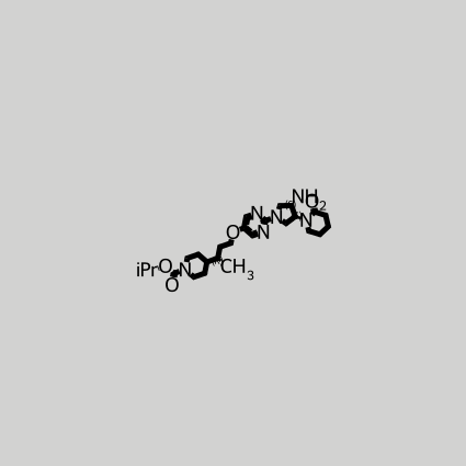 CC(C)OC(=O)N1CCC([C@H](C)CCOc2cnc(N3C[C@H](N)[C@@H](N4CCCCC4=O)C3)nc2)CC1